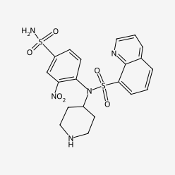 NS(=O)(=O)c1ccc(N(C2CCNCC2)S(=O)(=O)c2cccc3cccnc23)c([N+](=O)[O-])c1